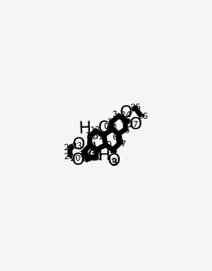 C[C@]12CCC3(CC1=CC(=O)C1C2CC[C@@]2(C)C1CCC21OCCO1)OCCO3